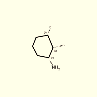 C[C@@H]1[C@H](N)CCC[C@@H]1C